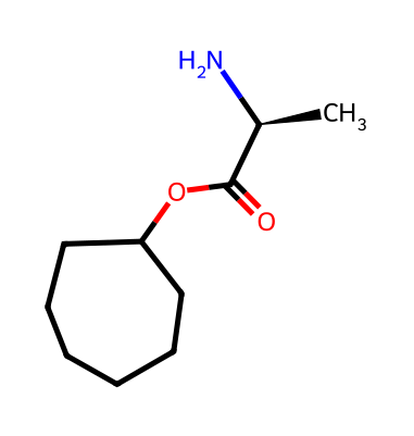 C[C@H](N)C(=O)OC1CCCCCC1